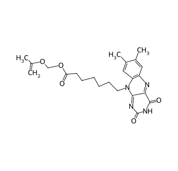 C=C(C)OCOC(=O)CCCCCCn1c2nc(=O)[nH]c(=O)c-2nc2cc(C)c(C)cc21